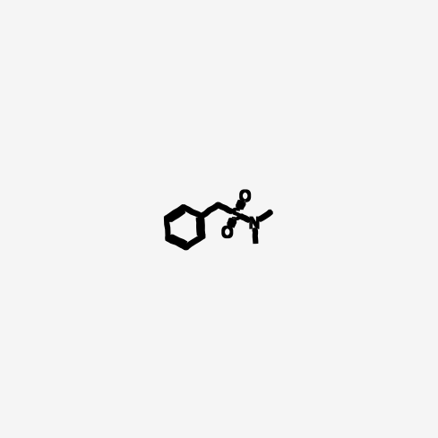 CN(C)S(=O)(=O)Cc1ccccc1